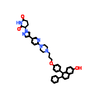 O=C1CCC(n2cc(-c3ccc(N4CCN(CCCOc5ccc(-c6c(-c7ccccc7)ccc7cc(O)ccc67)cc5)CC4)nc3)cn2)C(=O)N1